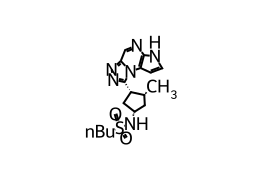 CCCCS(=O)(=O)N[C@H]1C[C@@H](C)[C@@H](c2nnc3cnc4[nH]ccc4n23)C1